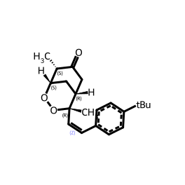 C[C@@H]1C(=O)C[C@H]2C[C@@H]1OO[C@@]2(C)/C=C\c1ccc(C(C)(C)C)cc1